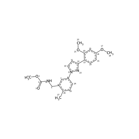 COC(=O)NCc1cc(-n2ccc(-c3ccc(OC)cc3OC)n2)ccc1C